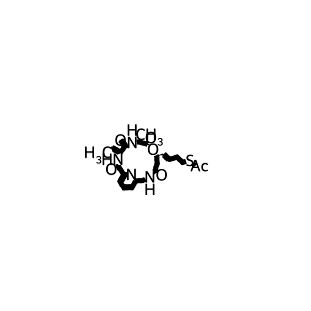 C/C=C1\NC(=O)c2cccc(n2)CNC(=O)C[C@@H](/C=C/CCSC(C)=O)OC(=O)[C@H](C)NC1=O